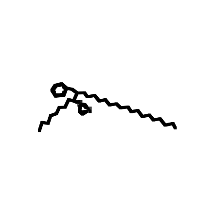 CCCCCCCCCCCCCCCCCCC(Cc1ccccc1)C(CCCCCCCC)n1ccnc1